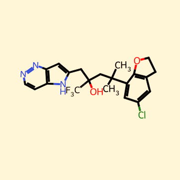 CC(C)(CC(O)(Cc1cc2nnccc2[nH]1)C(F)(F)F)c1cc(Cl)cc2c1OCC2